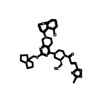 Cc1nsc(/C=C/C(=O)N2CCN(c3nc(OCC45CCCN4CCC5)nc4c3CCN(c3cccc5cccc(Cl)c35)C4)C[C@@H]2CC#N)n1